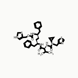 CC(C)[C@H](NC(=O)N(Cc1cscn1)C1CC1)C(=O)N[C@H](CC[C@H](Cc1ccccc1)NC(=O)OCC1=CNCS1)Cc1ccccc1